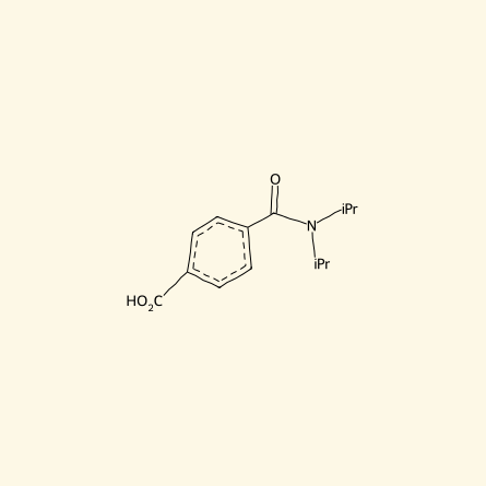 CC(C)N(C(=O)c1ccc(C(=O)O)cc1)C(C)C